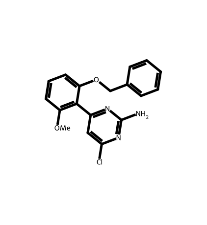 COc1cccc(OCc2ccccc2)c1-c1cc(Cl)nc(N)n1